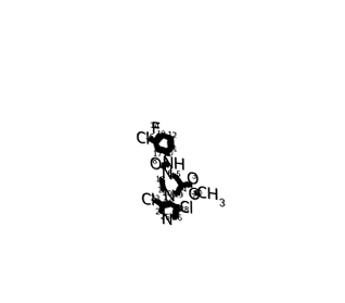 COC(=O)C1CN(C(=O)Nc2ccc(F)c(Cl)c2)CCN(c2c(Cl)cncc2Cl)C1